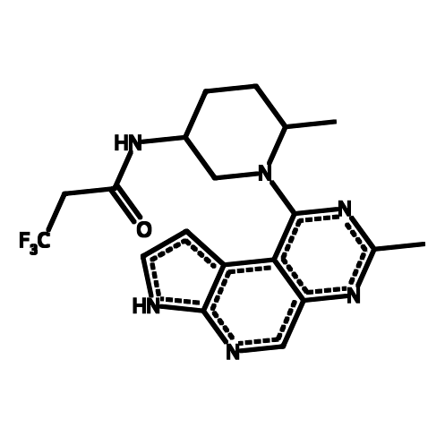 Cc1nc(N2CC(NC(=O)CC(F)(F)F)CCC2C)c2c(cnc3[nH]ccc32)n1